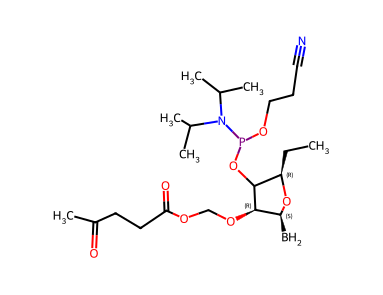 B[C@@H]1O[C@H](CC)C(OP(OCCC#N)N(C(C)C)C(C)C)[C@@H]1OCOC(=O)CCC(C)=O